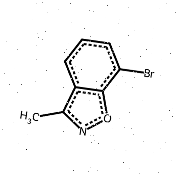 Cc1noc2c(Br)cccc12